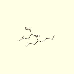 CCCCC(CCC)NC(C=O)CSC